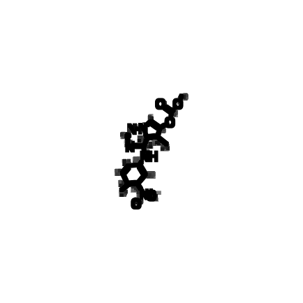 COC(=O)Oc1cn2ncnc(Nc3ccc(C)c([N+](=O)[O-])c3)c2c1C